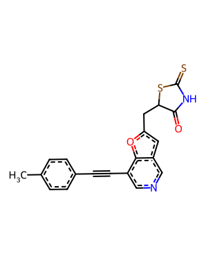 Cc1ccc(C#Cc2cncc3cc(CC4SC(=S)NC4=O)oc23)cc1